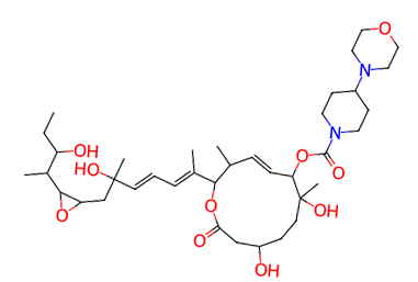 CCC(O)C(C)C1OC1CC(C)(O)/C=C/C=C(\C)C1OC(=O)CC(O)CCC(C)(O)C(OC(=O)N2CCC(N3CCOCC3)CC2)/C=C/C1C